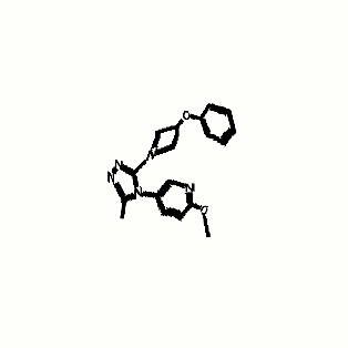 COc1ccc(-n2c(C)nnc2N2CC(Oc3ccccc3)C2)cn1